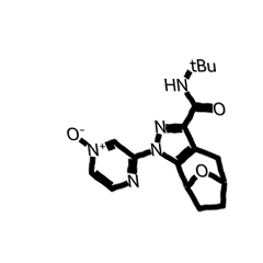 CC(C)(C)NC(=O)c1nn(-c2c[n+]([O-])ccn2)c2c1CC1CCC2O1